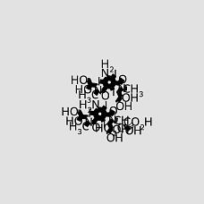 CN(CC(O)CO)C(=O)c1c(I)c(N)c(I)c(C(=O)N(C)CC(O)CO)c1I.CN(CC(O)CO)C(=O)c1c(I)c(N)c(I)c(C(=O)N(C)CC(O)CO)c1I.O=C(O)C(O)C(=O)O